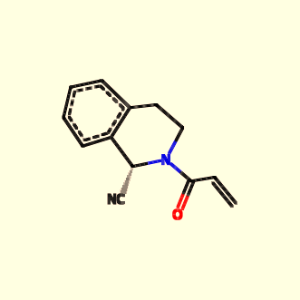 C=CC(=O)N1CCc2ccccc2[C@H]1C#N